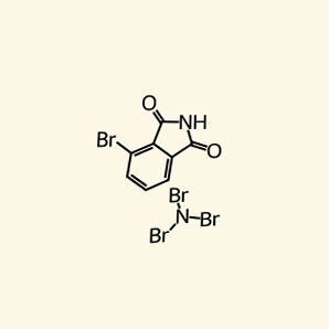 BrN(Br)Br.O=C1NC(=O)c2c(Br)cccc21